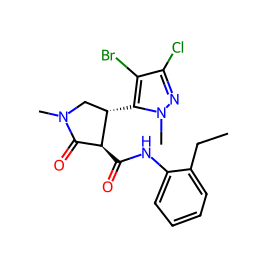 CCc1ccccc1NC(=O)[C@H]1C(=O)N(C)C[C@@H]1c1c(Br)c(Cl)nn1C